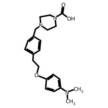 CN(C)c1ccc(OCCc2ccc(CN3CCN(C(=O)O)CC3)cc2)cc1